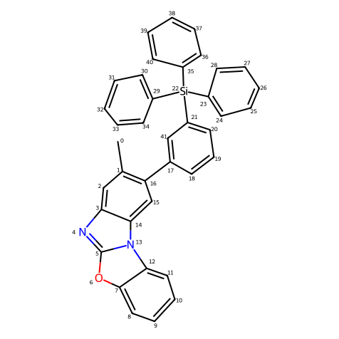 Cc1cc2nc3oc4ccccc4n3c2cc1-c1cccc([Si](c2ccccc2)(c2ccccc2)c2ccccc2)c1